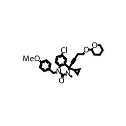 COc1ccc(CN2C(=O)N(C)C(C#CCCOC3CCCCO3)(C3CC3)c3cc(Cl)ccc32)cc1